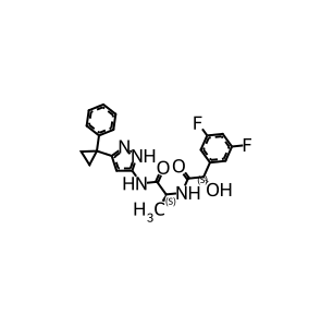 C[C@H](NC(=O)[C@@H](O)c1cc(F)cc(F)c1)C(=O)Nc1cc(C2(c3ccccc3)CC2)n[nH]1